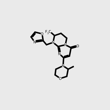 CC1COCCN1c1cc(=O)n2c(n1)N(Cc1ncco1)C(C(F)(F)F)CC2